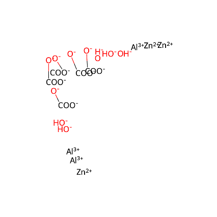 O=C([O-])[O-].O=C([O-])[O-].O=C([O-])[O-].O=C([O-])[O-].O=C([O-])[O-].[Al+3].[Al+3].[Al+3].[OH-].[OH-].[OH-].[OH-].[OH-].[Zn+2].[Zn+2].[Zn+2]